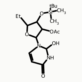 CCC1OC(N2C=CC(=O)NC2O)C(OC(C)=O)C1O[Si](C)(C)C(C)(C)C